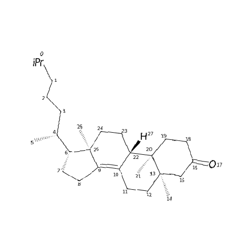 CC(C)CCC[C@@H](C)[C@H]1CCC2=C3CC[C@]4(C)CC(=O)CC[C@]4(C)[C@H]3CC[C@@]21C